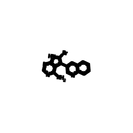 Nc1ncnc2[nH]c(Br)c(-c3cnc4ccccc4c3)c12